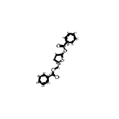 O=C(OC[C@H]1CCC(OC(=O)c2ccccc2)S1)c1ccccc1